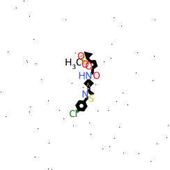 CS(=O)(=O)C1(c2ccc(C(=O)NC34CC(c5csc(-c6ccc(Cl)cc6)n5)(C3)C4)o2)CC1